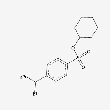 CCCC(CC)c1ccc(S(=O)(=O)OC2CCCCC2)cc1